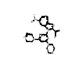 O=[N+]([O-])c1ccc2nc(C(F)F)n(-c3nc(N4CCOCC4)cc(N4CCOCC4)n3)c2c1